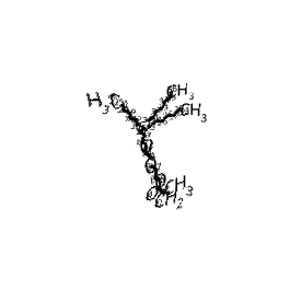 C=C(C)C(=O)OCCOCCOCCC[Si](CCCCCCC)(CCCCCCC)CCCCCCC